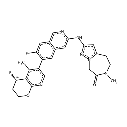 Cc1c(-c2cc3cc(Nc4cc5n(n4)CC(=O)N(C)CC5)ncc3cc2F)cnc2c1[C@H](F)CCO2